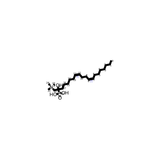 CCCCCCC/C=C\CC/C=C\CCCCCC(O)(C[N+](C)(C)C)P(=O)(O)O